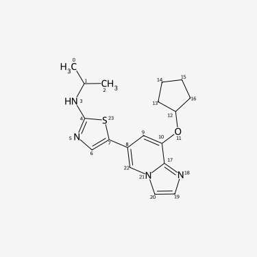 CC(C)Nc1ncc(-c2cc(OC3CCCC3)c3nccn3c2)s1